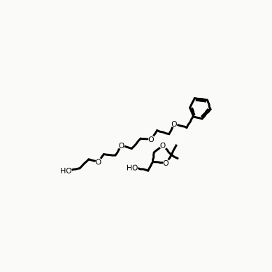 CC1(C)OCC(CO)O1.OCCOCCOCCOCCOCc1ccccc1